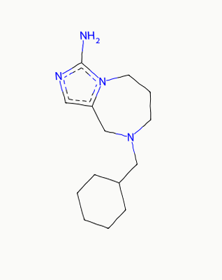 Nc1ncc2n1CCCN(CC1CCCCC1)C2